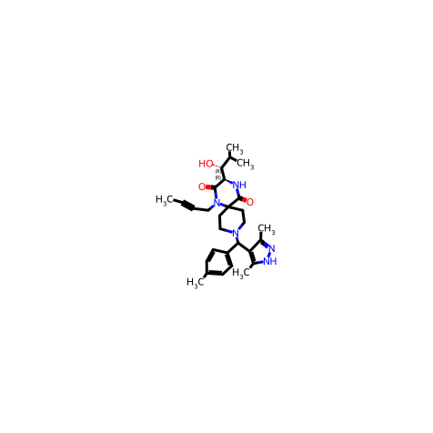 CC#CCN1C(=O)[C@@H]([C@H](O)C(C)C)NC(=O)C12CCN(C(c1ccc(C)cc1)c1c(C)n[nH]c1C)CC2